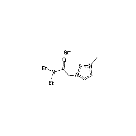 CCN(CC)C(=O)C[n+]1ccn(C)c1.[Br-]